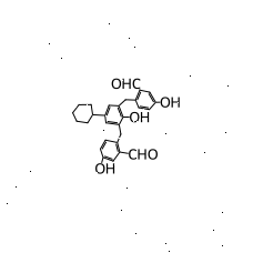 O=Cc1cc(O)ccc1Cc1cc(C2CCCCC2)cc(Cc2ccc(O)cc2C=O)c1O